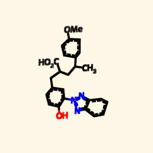 COc1ccc(C(C)CC(Cc2ccc(O)c(-n3nc4ccccc4n3)c2)C(=O)O)cc1